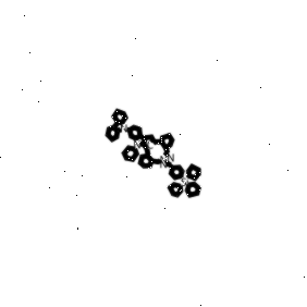 c1ccc(-n2c3cc(-n4c5ccccc5c5ccccc54)ccc3c3cc4cc(c5ccccc5c5nc(-c6ccc([Si](c7ccccc7)(c7ccccc7)c7ccccc7)cc6)nc(n5)c5ccccc45)c32)cc1